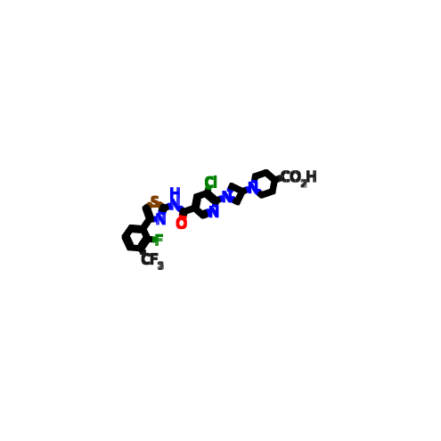 O=C(Nc1nc(-c2cccc(C(F)(F)F)c2F)cs1)c1cnc(N2CC(N3CCC(C(=O)O)CC3)C2)c(Cl)c1